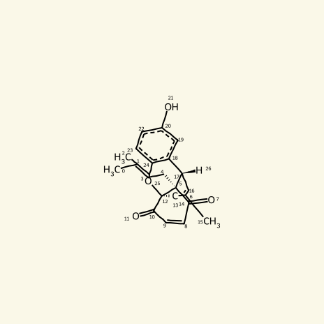 CC(C)=CC[C@]12C(=O)C=CC(=O)[C@]13CC(C)=C[C@H]2c1cc(O)ccc1O3